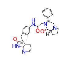 O=C(CN1C(=O)[C@@H]2CCCN2C[C@H]1c1ccccc1)Nc1ccc2c(c1)C[C@@]1(C2)C(=O)Nc2ncccc21